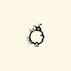 COc1cc2cc(c1Cl)N(C)C(=O)CC[C@@H]1O[C@H]1[C@H](C)[C@H]1CC(=NO1)C/C=C/C=C(\C)C2